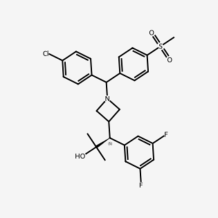 CC(C)(O)[C@H](c1cc(F)cc(F)c1)C1CN(C(c2ccc(Cl)cc2)c2ccc(S(C)(=O)=O)cc2)C1